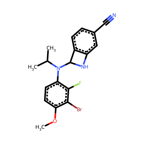 COc1ccc(N(C(C)C)C2Nc3cc(C#N)ccc32)c(F)c1Br